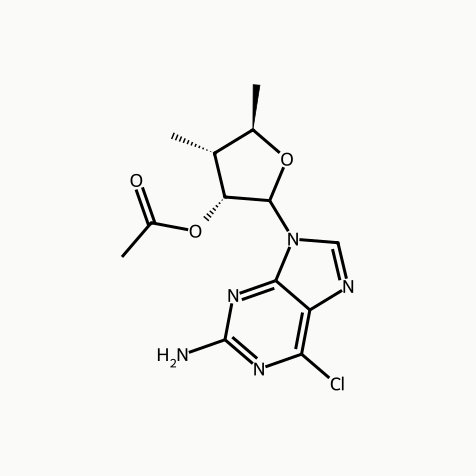 CC(=O)O[C@H]1C(n2cnc3c(Cl)nc(N)nc32)O[C@H](C)[C@H]1C